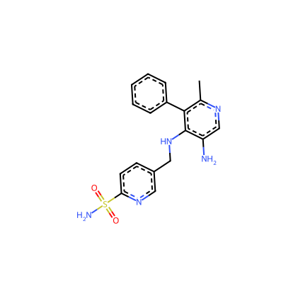 Cc1ncc(N)c(NCc2ccc(S(N)(=O)=O)nc2)c1-c1ccccc1